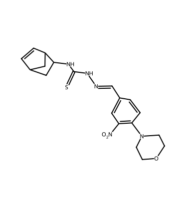 O=[N+]([O-])c1cc(C=NNC(=S)NC2CC3C=CC2C3)ccc1N1CCOCC1